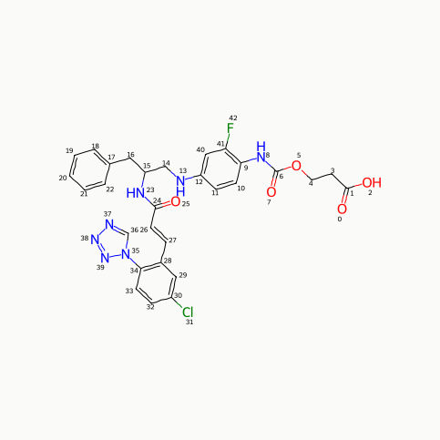 O=C(O)CCOC(=O)Nc1ccc(NCC(Cc2ccccc2)NC(=O)C=Cc2cc(Cl)ccc2-n2cnnn2)cc1F